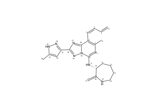 C=C/C=C\c1c(C)nc(N[C@@H]2CCCCNC2=O)n2nc(-c3cc(C)[nH]n3)nc12